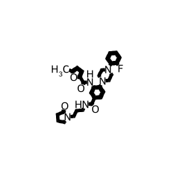 Cc1ccc(C(=O)Nc2cc(C(=O)NCCCN3CCCC3=O)ccc2N2CCN(c3ccccc3F)CC2)o1